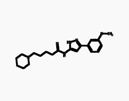 COc1cccc(-c2cc(NC(=O)CCCCN3CCCCC3)[nH]n2)c1